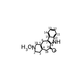 CN1CCC2=C(Cc3c([nH]c4ccccc34)C(=O)C2)C1